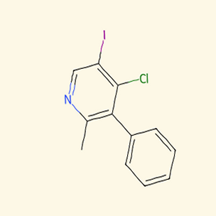 Cc1ncc(I)c(Cl)c1-c1ccccc1